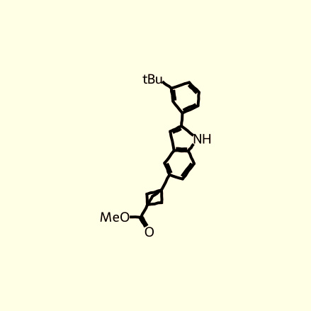 COC(=O)C12CC(c3ccc4[nH]c(-c5cccc(C(C)(C)C)c5)cc4c3)(C1)C2